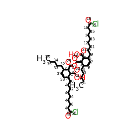 CCCCCC1C=CC(CCCCCCCCC(=O)Cl)C(C(=O)O)C1C(=O)OC(=O)C1C(CCCCC)C=CC(CCCCCCCCC(=O)Cl)C1C(=O)O